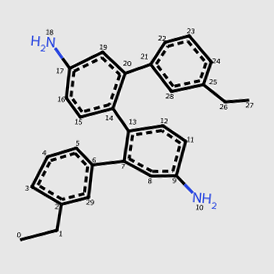 CCc1cccc(-c2cc(N)ccc2-c2ccc(N)cc2-c2cccc(CC)c2)c1